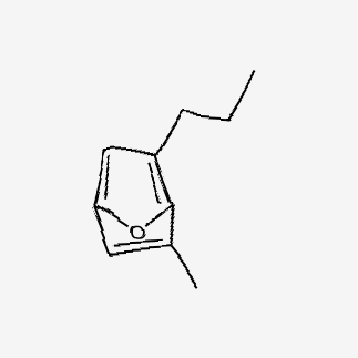 CCCc1cc2cc(C)c1o2